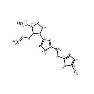 C=CCC1C(c2cc(NCc3ccc(Cl)s3)[nH]n2)CCN1C(=O)O